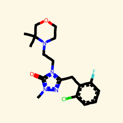 Cn1nc(Cc2c(F)cccc2Cl)n(CCN2CCOCC2(C)C)c1=O